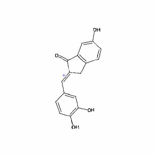 O=C1/C(=C/c2ccc(O)c(O)c2)Cc2ccc(O)cc21